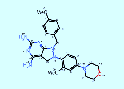 COc1ccc(CN2c3nc(N)nc(N)c3CN2c2ccc(N3CCOCC3)cc2OC)cc1